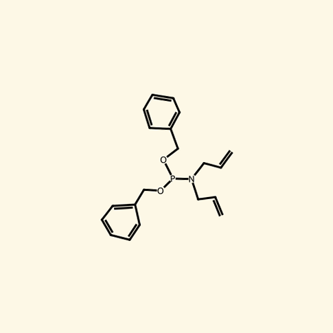 C=CCN(CC=C)P(OCc1ccccc1)OCc1ccccc1